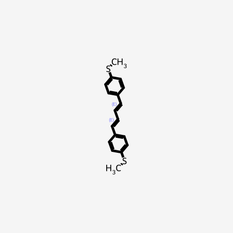 CSc1ccc(/C=C/C=C/c2ccc(SC)cc2)cc1